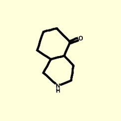 O=C1CCCC2CNCCC12